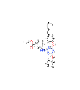 CCCCc1ccc(Oc2nc(Nc3cccc(C(=O)OC)c3)nc(Oc3ccccc3)n2)cc1